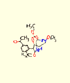 CCOC(=O)OC1=C(c2cc(C(C)=O)ccc2C)C(=O)NC12CCN(OC)CC2